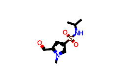 CC(C)NS(=O)(=O)c1cc(C=O)n(C)c1